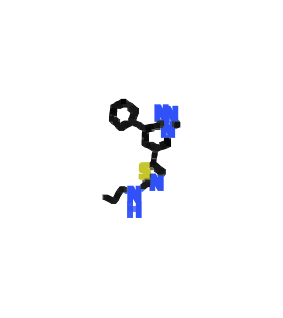 CCCNc1ncc(-c2cc(-c3ccccc3)c3nncn3c2)s1